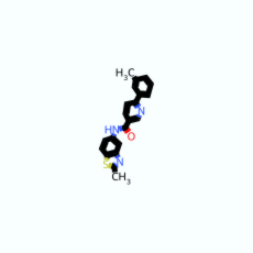 Cc1cccc(-c2ccc(C(=O)Nc3ccc4sc(C)nc4c3)cn2)c1